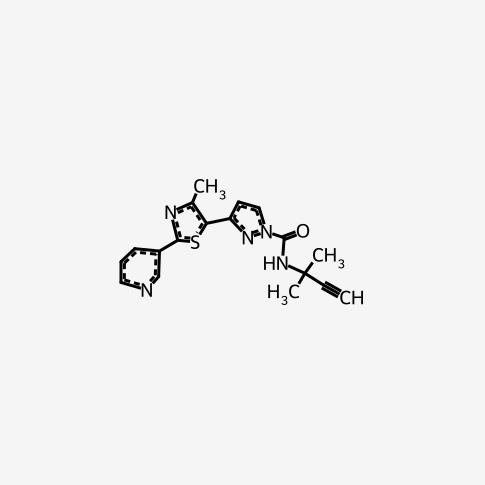 C#CC(C)(C)NC(=O)n1ccc(-c2sc(-c3cccnc3)nc2C)n1